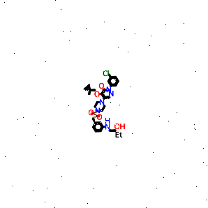 CCC(O)CNc1cccc(CS(=O)(=O)N2CCN(c3cnn(-c4cccc(Cl)c4)c(=O)c3OCC3(C)CC3)CC2)c1